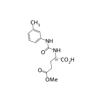 COC(=O)CC[C@H](NC(=O)Nc1cccc(C)c1)C(=O)O